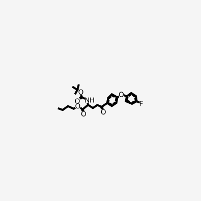 CCCCOC(=O)C(CCC(=O)c1ccc(Oc2ccc(F)cc2)cc1)NC(=O)OC(C)(C)C